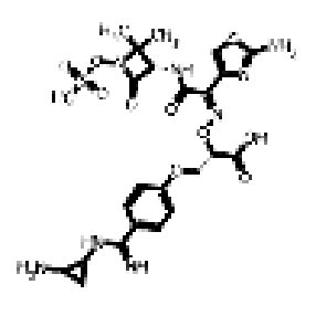 CC1(C)[C@H](NC(=O)C(=NO[C@@H](COc2ccc(C(=N)NC3CC3N)cc2)C(=O)O)c2csc(N)n2)C(=O)N1OS(=O)(=O)O